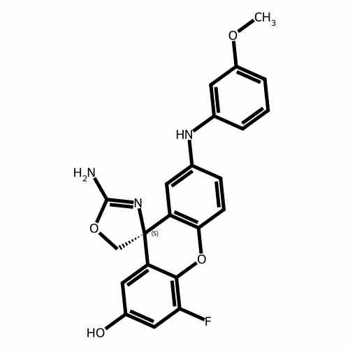 COc1cccc(Nc2ccc3c(c2)[C@@]2(COC(N)=N2)c2cc(O)cc(F)c2O3)c1